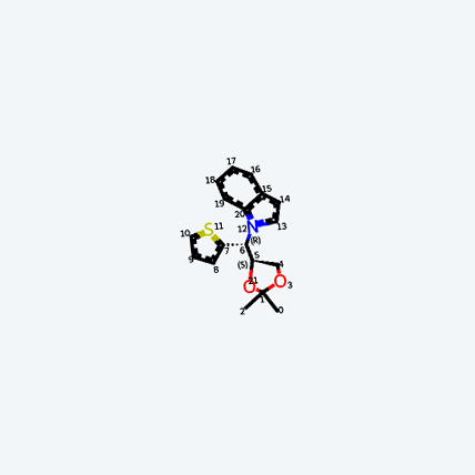 CC1(C)OC[C@H]([C@H](c2cccs2)n2ccc3ccccc32)O1